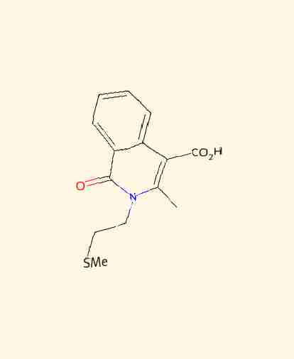 CSCCn1c(C)c(C(=O)O)c2ccccc2c1=O